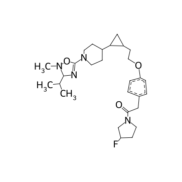 CC(C)C1N=C(N2CCC(C3CC3CCOc3ccc(CC(=O)N4CCC(F)C4)cc3)CC2)ON1C